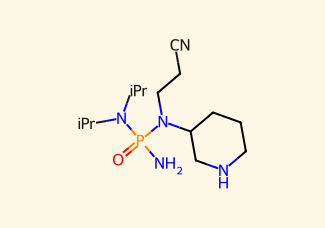 CC(C)N(C(C)C)P(N)(=O)N(CCC#N)C1CCCNC1